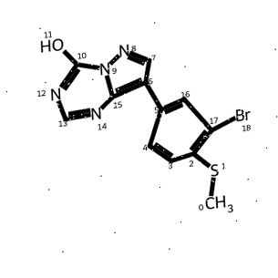 CSc1ccc(-c2cnn3c(O)ncnc23)cc1Br